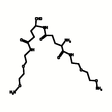 NOCCOCCNC(=O)CCC(C=O)NC(=O)CCC(N)C(=O)NCCOCCON